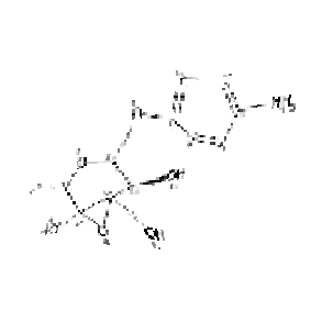 C[C@@H]1O[C@H](Oc2ccc(N)cc2)[C@@H](O)[C@@]2(O)O[C@@]12O